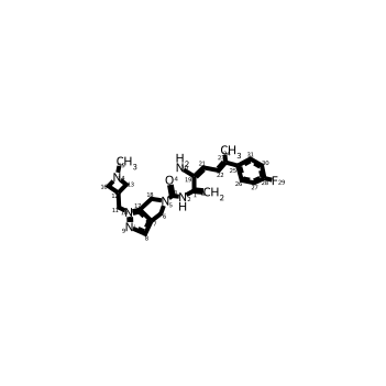 C=C(NC(=O)N1Cc2cnn(CC3CN(C)C3)c2C1)/C(N)=C\C=C(/C)c1ccc(F)cc1